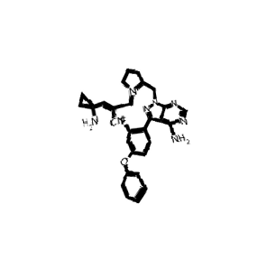 N#CC(=CC1(N)CC1)CN1CCCC1Cn1nc(-c2ccc(Oc3ccccc3)cc2F)c2c(N)ncnc21